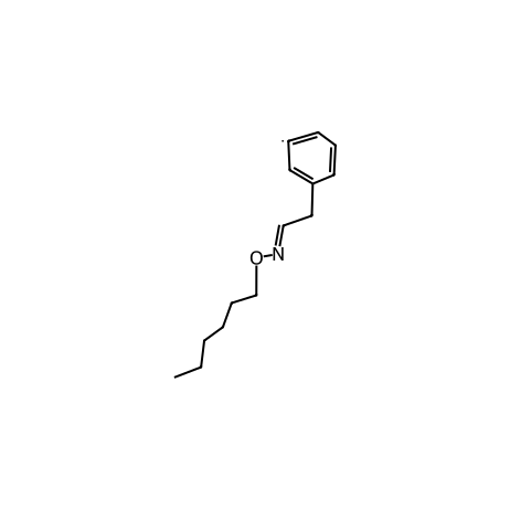 CCCCCCON=CCc1c[c]ccc1